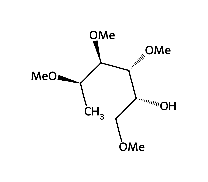 COC[C@@H](O)[C@@H](OC)[C@H](OC)[C@@H](C)OC